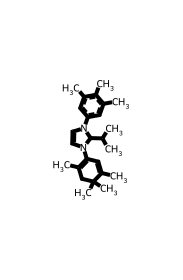 CC1=CC(N2C=CN(c3cc(C)c(C)c(C)c3)C2C(C)C)=C(C)CC1(C)C